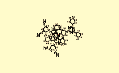 N#Cc1cc(C#N)cc(-c2ccc3c(c2)c2cc(-c4cc(C#N)cc(C#N)c4)ccc2n3-c2ccc(-c3nc(-c4ccccc4)nc(-c4ccccc4)n3)cc2-c2ncccc2-c2nc(-c3ccccc3)nc(-c3ccccc3)n2)c1